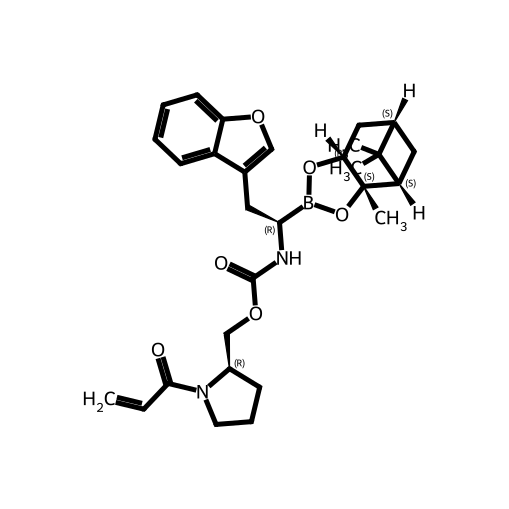 C=CC(=O)N1CCC[C@@H]1COC(=O)N[C@@H](Cc1coc2ccccc12)B1O[C@@H]2C[C@@H]3C[C@@H](C3(C)C)[C@]2(C)O1